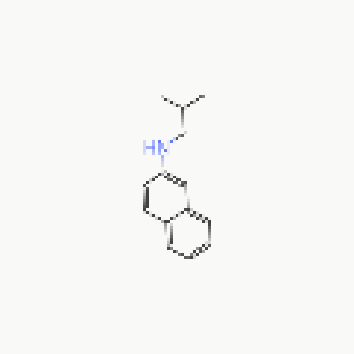 CC(C)CNc1ccc2ccccc2c1